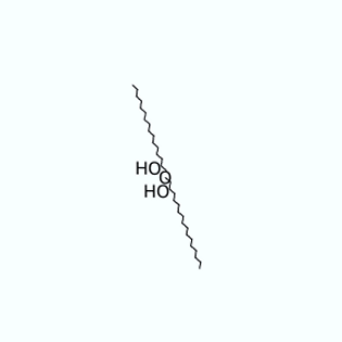 CCCCCCCCCCCCCCC(O)COCC(O)CCCCCCCCCCCCCC